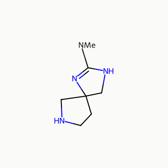 CNC1=NC2(CCNC2)CN1